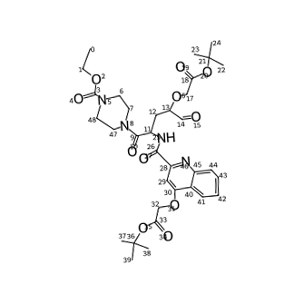 CCOC(=O)N1CCN(C(=O)C(CC(C=O)OCC(=O)OC(C)(C)C)NC(=O)c2cc(OCC(=O)OC(C)(C)C)c3ccccc3n2)CC1